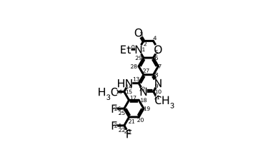 CCN1C(=O)COc2cc3nc(C)nc(NC(C)c4cccc(C(F)F)c4F)c3cc21